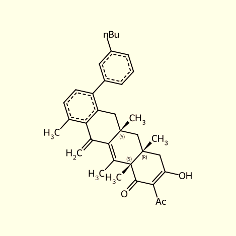 C=C1C2=C(C)[C@@]3(C)C(=O)C(C(C)=O)=C(O)C[C@@]3(C)C[C@@]2(C)Cc2c(-c3cccc(CCCC)c3)ccc(C)c21